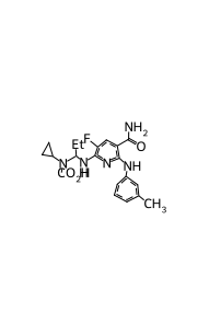 CCC(Nc1nc(Nc2cccc(C)c2)c(C(N)=O)cc1F)N(C(=O)O)C1CC1